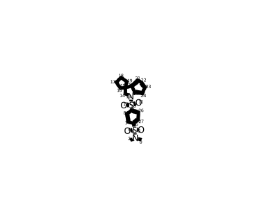 CN(C)S(=O)(=O)c1ccc(S(=O)(=O)N2CC3(CCCC3)c3ccccc32)cc1